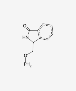 O=C1NC(COP)c2ccccc21